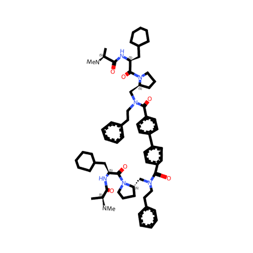 CN[C@@H](C)C(=O)N[C@@H](CC1CCCCC1)C(=O)N1CCC[C@H]1CN(CCc1ccccc1)C(=O)c1ccc(-c2ccc(C(=O)N(CCc3ccccc3)C[C@@H]3CCCN3C(=O)[C@H](CC3CCCCC3)NC(=O)[C@H](C)NC)cc2)cc1